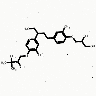 CCC(CCc1ccc(OCC(O)CO)c(C)c1)c1ccc(OCC(O)C(C)(C)C)c(C)c1